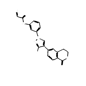 C=CC(=O)Nc1cccc(-n2cc(-c3ccc4c(c3)CCNC4=O)c(C)n2)c1